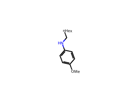 CCCCCCCNc1ccc(OC)cc1